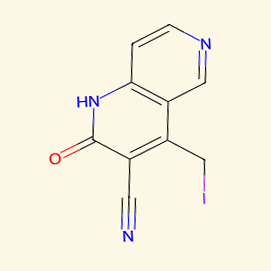 N#Cc1c(CI)c2cnccc2[nH]c1=O